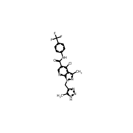 Cc1[nH]nnc1Cn1nc(C)c2c(Cl)c(C(=O)Nc3ccc(C(F)(F)F)cc3)cnc21